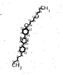 CCCCCc1ccc(-c2cnc(-c3ccc(OCCCCOCCCC)cc3)nc2)cc1